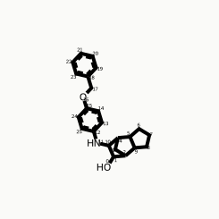 OC1C2CC(C3CCCC23)C1Nc1ccc(OCc2ccccc2)cc1